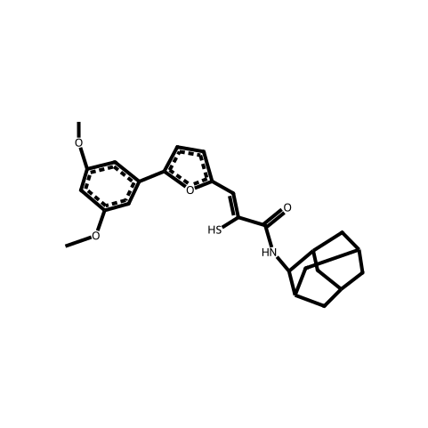 COc1cc(OC)cc(-c2ccc(/C=C(\S)C(=O)NC3C4CC5CC(C4)CC3C5)o2)c1